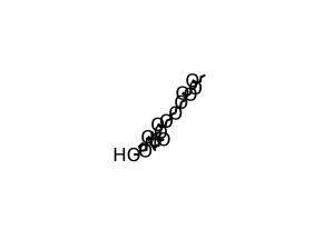 CCCC(=O)OCOC(=O)COCCOCCOCC(=O)OCn1c(=O)ccn([C@@H]2O[C@H](CO)C[C@@H]2C)c1=O